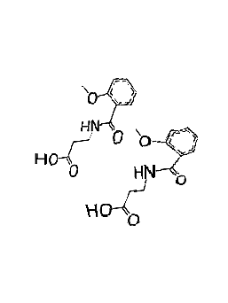 COc1ccccc1C(=O)NCCC(=O)O.COc1ccccc1C(=O)NCCC(=O)O